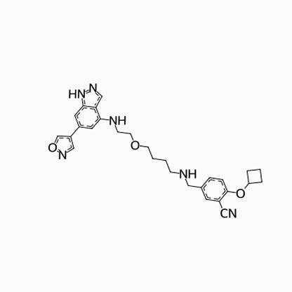 N#Cc1cc(CNCCCCOCCNc2cc(-c3cnoc3)cc3[nH]ncc23)ccc1OC1CCC1